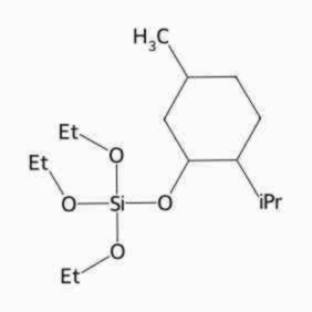 CCO[Si](OCC)(OCC)OC1CC(C)CCC1C(C)C